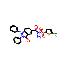 O=C(NS(=O)(=O)C1CC=C(Cl)S1)c1ccc2c(c1)c(=O)n(-c1ccccc1)n2-c1ccccc1